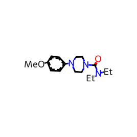 CCN(CC)C(=O)N1CCN(c2ccc(OC)cc2)CC1